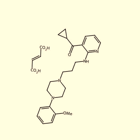 COc1ccccc1N1CCN(CCCNc2ncccc2C(=O)C2CC2)CC1.O=C(O)C=CC(=O)O